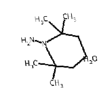 CC1(C)CCCC(C)(C)N1N.O